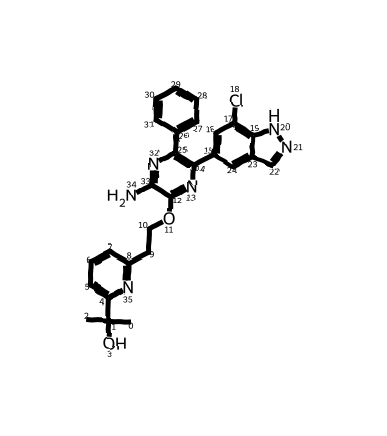 CC(C)(O)c1cccc(CCOc2nc(-c3cc(Cl)c4[nH]ncc4c3)c(-c3ccccc3)nc2N)n1